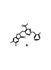 CC(=O)c1c[n+](Cc2ccccc2C)ccc1CC1Cc2cc(C)c(C)cc2C1=O.[Br-]